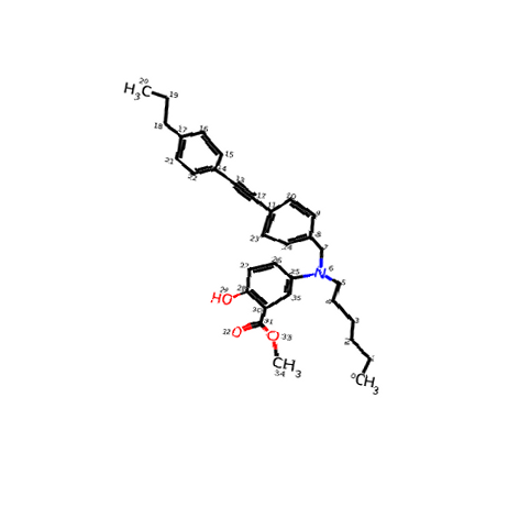 CCCCCCN(Cc1ccc(C#Cc2ccc(CCC)cc2)cc1)c1ccc(O)c(C(=O)OC)c1